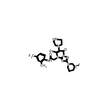 CCc1c(N2CCNCC2)c(=O)n2nc(N3CCC[C@H](F)C3)nc2n1CC(=O)Nc1ccc(C(F)(F)F)cc1C